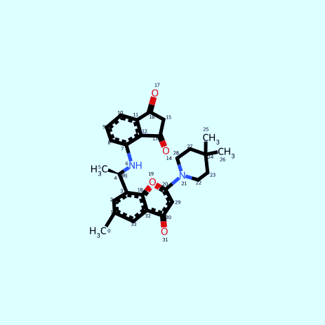 Cc1cc([C@@H](C)Nc2cccc3c2C(=O)CC3=O)c2oc(N3CCC(C)(C)CC3)cc(=O)c2c1